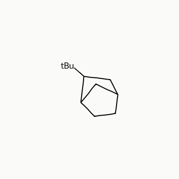 CC(C)(C)C1CC2CCC1C2